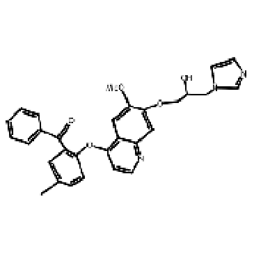 COc1cc2c(Oc3ccc(C)cc3C(=O)c3ccccc3)ccnc2cc1OCC(O)Cn1ccnc1